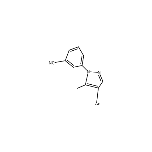 CC(=O)c1cnn(-c2cccc(C#N)c2)c1C